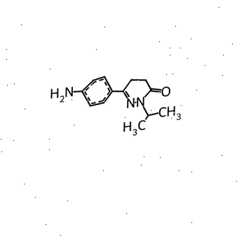 CC(C)N1N=C(c2ccc(N)cc2)CCC1=O